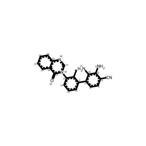 Cc1c(-c2ccc(C#N)c(N)c2N)cccc1-n1cnc2ccccc2c1=O